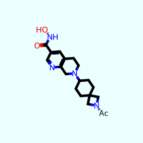 CC(=O)N1CC2(CCC(N3CCc4cc(C(=O)NO)cnc4C3)CC2)C1